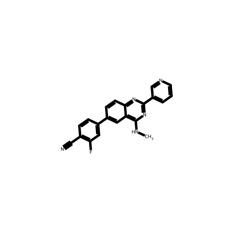 CNc1nc(-c2cccnc2)nc2ccc(-c3ccc(C#N)c(F)c3)cc12